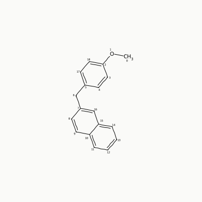 COc1ccc([CH]c2ccc3ccccc3c2)cc1